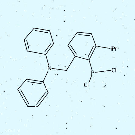 CC(C)c1cccc(CN(c2ccccc2)c2ccccc2)c1P(Cl)Cl